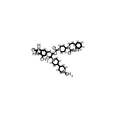 Cc1cc(C[C@@H](OC(=O)N2CCC(N3CCc4ccccc4NC3=O)CC2)C(=O)N2CCC(C3CCN(C)CC3)CC2)cc2[nH]c(=O)[nH]c12